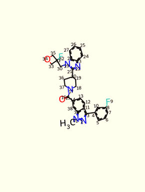 Cn1nc(-c2cccc(F)c2)c2ccc(C(=O)N3CCC(c4nc5ccccc5n4CC4(F)COC4)CC3)cc21